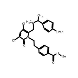 COc1ccc(C(C)N(C)Cc2c(Cl)cc(Cl)c(=O)n2CCc2ccc(C(=O)OC(C)(C)C)cc2)cc1